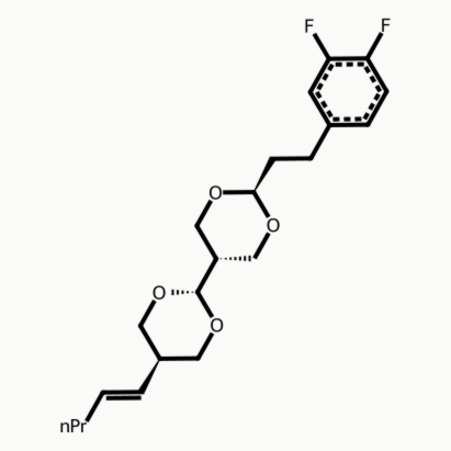 CCC/C=C/[C@H]1CO[C@H]([C@H]2CO[C@H](CCc3ccc(F)c(F)c3)OC2)OC1